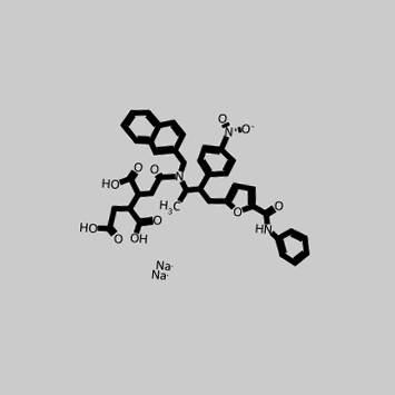 CC(C(Cc1ccc(C(=O)Nc2ccccc2)o1)c1ccc([N+](=O)[O-])cc1)N(Cc1ccc2ccccc2c1)C(=O)CC(C(=O)O)C(CC(=O)O)C(=O)O.[Na].[Na]